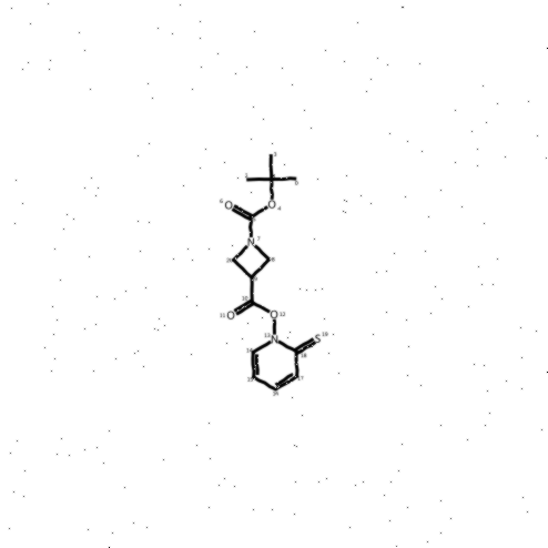 CC(C)(C)OC(=O)N1CC(C(=O)On2ccccc2=S)C1